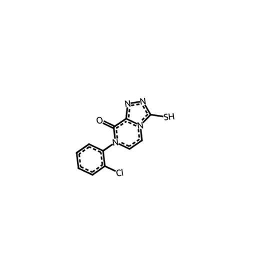 O=c1c2nnc(S)n2ccn1-c1ccccc1Cl